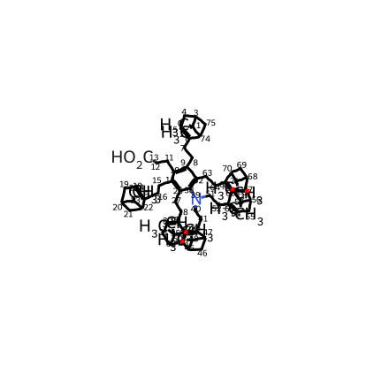 CC1(C)C2CC=C(CCc3c(CCC(=O)O)c(CCC4=CCC5CC4C5(C)C)c(CCC4=CCC5CC4C5(C)C)c(N(CCC4=CCC5CC4C5(C)C)CCC4=CCC5CC4C5(C)C)c3CCC3=CCC4CC3C4(C)C)C1C2